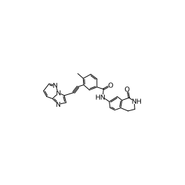 Cc1ccc(C(=O)Nc2ccc3c(c2)C(=O)NCC3)cc1C#Cc1cnc2cccnn12